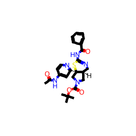 CC(=O)Nc1ccnc([C@@]23CN(C(=O)OC(C)(C)C)C[C@@H]2CN=C(NC(=O)c2ccccc2)S3)c1